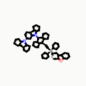 C(#C[Si](c1ccccc1)(c1ccccc1)c1ccc2oc3ccccc3c2c1)c1c2ccccc2c(-n2c3ccccc3c3ccc(-n4c5ccccc5c5ccccc54)cc32)c2ccccc12